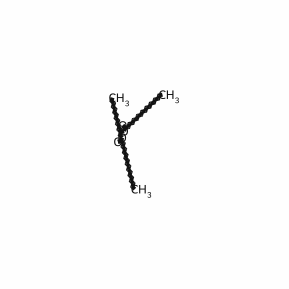 CCCCCCCCCCCCCCCCCC(=O)OCC(CCCCCCCCCCCC)OC(=O)CCCCCCCCCCCCCCCCC